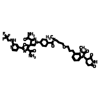 CN(CCCOCCCc1cccc2c1n(C)c(=O)n2C1CCC(=O)NC1=O)C(=O)C1CCC(n2cc(-c3oc(-c4ccnc(NCC(F)(F)F)c4)nc3C(N)=O)c(C(N)=O)n2)CC1